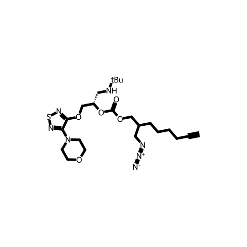 C#CCCCCC(CN=[N+]=[N-])COC(=O)O[C@@H](CNC(C)(C)C)COc1nsnc1N1CCOCC1